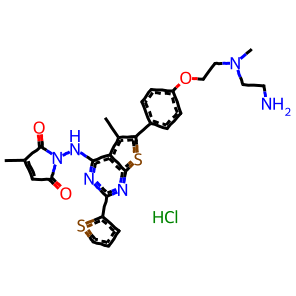 CC1=CC(=O)N(Nc2nc(-c3cccs3)nc3sc(-c4ccc(OCCN(C)CCN)cc4)c(C)c23)C1=O.Cl